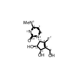 CNc1ccn([C@@H]2C(F)=C(CO)[C@@H](O)[C@H]2O)c(=O)n1